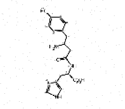 NC(CC(=O)N[C@H](Cc1c[nH]cn1)C(=O)O)Cc1ccc(O)cc1